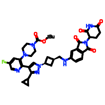 CC(C)(C)OC(=O)N1CCN(c2cc(F)cnc2-c2cn([C@H]3C[C@H](CNc4ccc5c(c4)C(=O)N(C4CCC(=O)NC4=O)C5=O)C3)nc2C2CC2)CC1